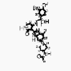 COc1ccc([C@H](O)CNc2cc[nH]c(=O)c2-c2nc3c(C)cc(N4CCC(NC(C)=O)CC4)cc3[nH]2)cc1Br